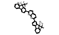 CC1(C(F)(F)F)c2ccccc2-c2ccc(-c3ccc4ccc(-c5ccc6c(c5)C(C)(C(F)(F)F)c5ccccc5-6)nc4n3)cc21